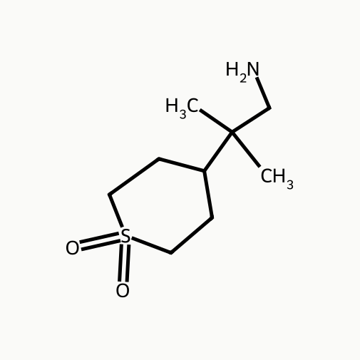 CC(C)(CN)C1CCS(=O)(=O)CC1